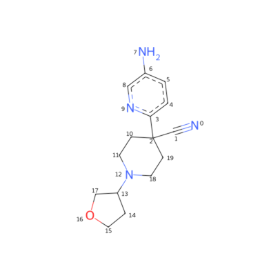 N#CC1(c2ccc(N)cn2)CCN(C2CCOC2)CC1